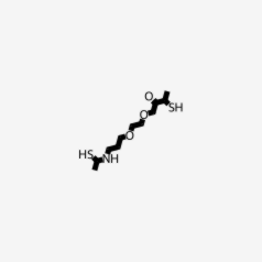 CC(S)NCCCOCCOCC(=O)C(C)S